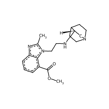 COC(=O)c1cccc2nc(C)n(CCN[C@H]3CN4CCC3CC4)c12